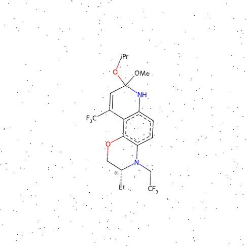 CC[C@@H]1COc2c(ccc3c2C(C(F)(F)F)=CC(OC)(OC(C)C)N3)N1CC(F)(F)F